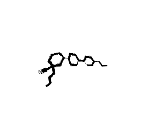 CCCCC1(C#N)CCCC([C@H]2CC[C@H]([C@H]3CC[C@H](CCC)CC3)CC2)C1